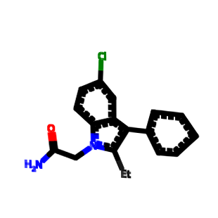 CCc1c(-c2ccccc2)c2cc(Cl)ccc2n1CC(N)=O